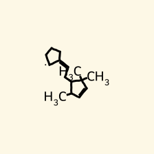 CC1C=CC(C)(C)C1CC=C1[CH]CCC1